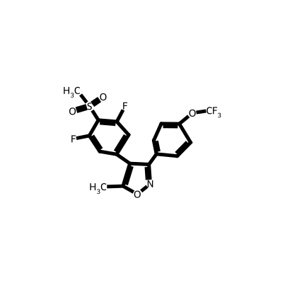 Cc1onc(-c2ccc(OC(F)(F)F)cc2)c1-c1cc(F)c(S(C)(=O)=O)c(F)c1